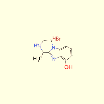 Br.CC1NCCn2c1nc1c(O)cccc12